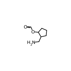 NCC1CCCC1OC=O